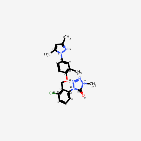 Cc1cc(C)n(-c2ccc(OCc3c(Cl)cccc3-n3nnn(C)c3=O)c(C)c2)n1